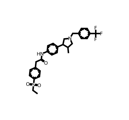 CCS(=O)(=O)c1ccc(CC(=O)Nc2ccc(C3CN(Cc4ccc(C(F)(F)F)cc4)CC3C)cc2)cc1